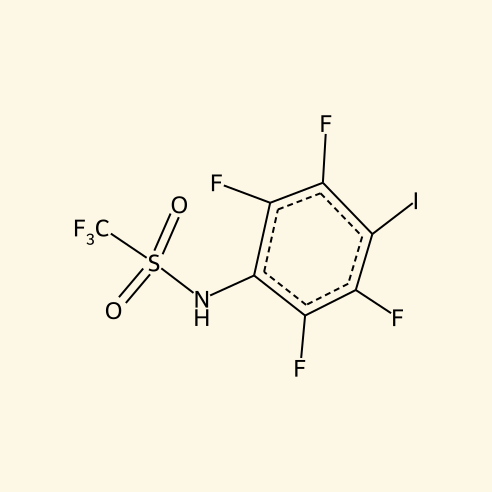 O=S(=O)(Nc1c(F)c(F)c(I)c(F)c1F)C(F)(F)F